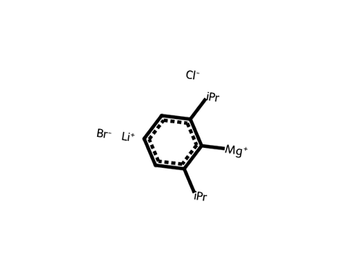 CC(C)c1cccc(C(C)C)[c]1[Mg+].[Br-].[Cl-].[Li+]